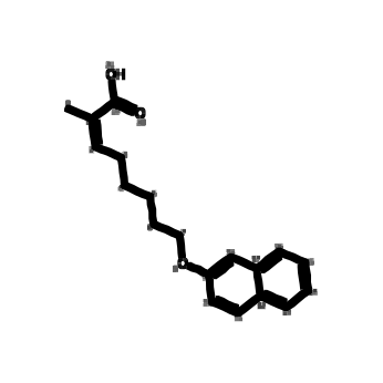 CC(=CCCCCCOc1ccc2ccccc2c1)C(=O)O